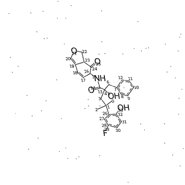 CC(C)(CC(O)(Cc1ccccc1)C(=O)NC1C=CC2=COCC2C1=O)c1cc(F)ccc1O